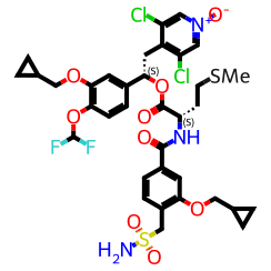 CSCC[C@H](NC(=O)c1ccc(CS(N)(=O)=O)c(OCC2CC2)c1)C(=O)O[C@@H](Cc1c(Cl)c[n+]([O-])cc1Cl)c1ccc(OC(F)F)c(OCC2CC2)c1